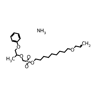 C=CCOCCCCCCCCCOS(=O)(=O)COC(C)COc1ccccc1.N